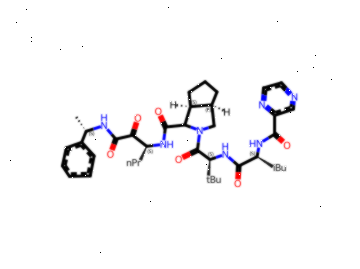 CCC[C@H](NC(=O)C1[C@H]2CCC[C@H]2CN1C(=O)[C@@H](NC(=O)[C@@H](NC(=O)c1cnccn1)C(C)CC)C(C)(C)C)C(=O)C(=O)N[C@@H](C)c1ccccc1